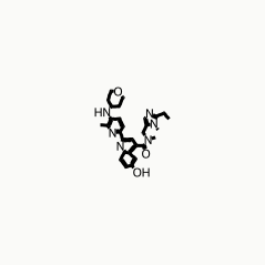 CCc1ncc(CN(C)C(=O)c2cc(-c3ccc(NC4CCOCC4)c(C)n3)nc3ccc(O)cc23)n1C